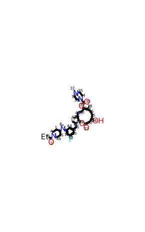 CCC(=O)N1CCC(N(C)c2cc(F)cc(/C=C(\C)[C@H]3OC(=O)C[C@H](O)CC[C@H](C)[C@@H](OC(=O)N4CCN(C)CC4)/C=C/[C@@H]3C)c2)CC1